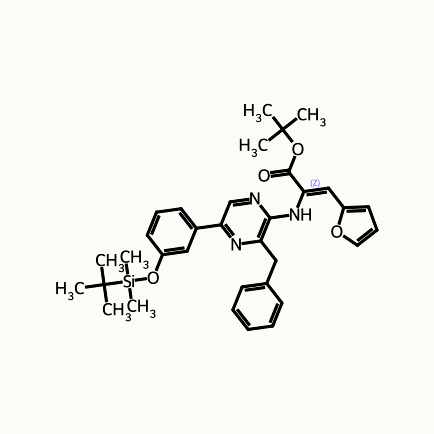 CC(C)(C)OC(=O)/C(=C/c1ccco1)Nc1ncc(-c2cccc(O[Si](C)(C)C(C)(C)C)c2)nc1Cc1ccccc1